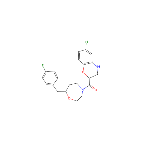 O=C(C1CNc2cc(Cl)ccc2O1)N1CCOC(Cc2ccc(F)cc2)CC1